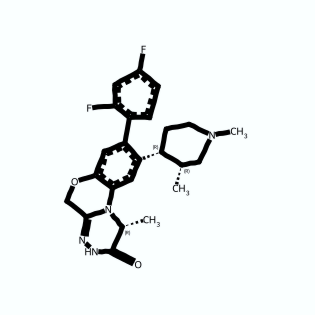 C[C@@H]1C(=O)NN=C2COc3cc(-c4ccc(F)cc4F)c([C@@H]4CCN(C)C[C@@H]4C)cc3N21